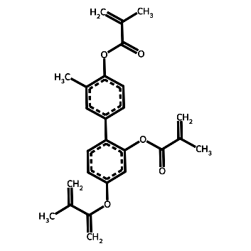 C=C(C)C(=C)Oc1ccc(-c2ccc(OC(=O)C(=C)C)c(C)c2)c(OC(=O)C(=C)C)c1